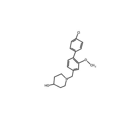 COc1cc(CN2CCC(O)CC2)ccc1-c1ccc(Cl)cc1